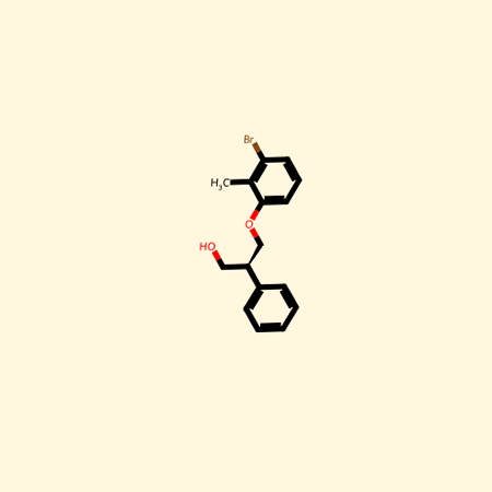 Cc1c(Br)cccc1OC[C@H](CO)c1ccccc1